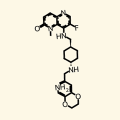 C=C(/C=C1/OCCO/C1=C/N)CN[C@H]1CC[C@H](CNc2c(F)cnc3ccc(=O)n(C)c23)CC1